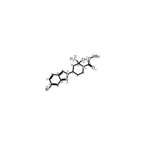 CC(C)(C)OC(=O)N1CCC(n2cc3ccc(Br)cc3n2)CC1(C)C